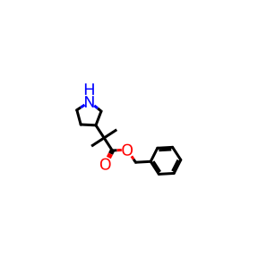 CC(C)(C(=O)OCc1ccccc1)C1CCNC1